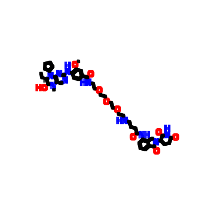 CC[C@@H]1C(O)N(C)c2cnc(Nc3ccc(C(=O)NCCOCCOCCOCCNCCCC(=O)Nc4cccc5c4CN(C4CCC(=O)NC4=O)C5=O)cc3OC)nc2N1C1CCCC1